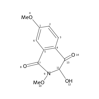 COc1ccc2c(c1)C(=O)N(OC)C(O)C2=O